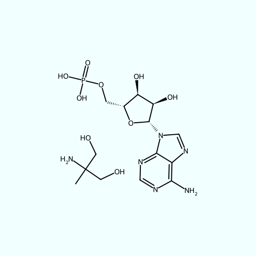 CC(N)(CO)CO.Nc1ncnc2c1ncn2[C@@H]1O[C@H](COP(=O)(O)O)[C@@H](O)[C@H]1O